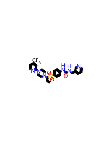 C=CC(N1CCN(c2cc(C(F)(F)F)ccn2)CC1)S(=O)(=O)c1ccc(NC(=O)NCc2cccnc2)cc1